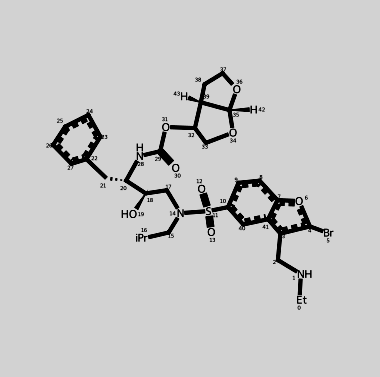 CCNCc1c(Br)oc2ccc(S(=O)(=O)N(CC(C)C)C[C@@H](O)[C@H](Cc3ccccc3)NC(=O)OC3CO[C@H]4OCC[C@@H]34)cc12